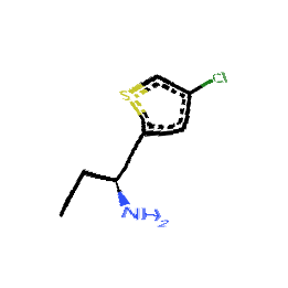 CC[C@H](N)c1cc(Cl)cs1